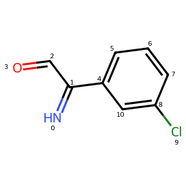 N=C(C=O)c1cccc(Cl)c1